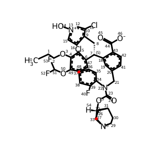 CCCOc1cc([C@H](Cc2c(Cl)c[n+](O)cc2Cl)c2cc(CN(C(=O)O[C@H]3CN4CCC3CC4)c3ccccc3F)ccc2C(=O)[O-])ccc1OC(F)F